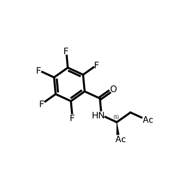 CC(=O)C[C@H](NC(=O)c1c(F)c(F)c(F)c(F)c1F)C(C)=O